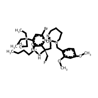 CCCC[S+]([O-])N[C@@](CF)(CS1(=O)=NCCCCN1Cc1ccc(OC)cc1OC)c1nc(Br)cc(S(CC)(CC)CC)c1F